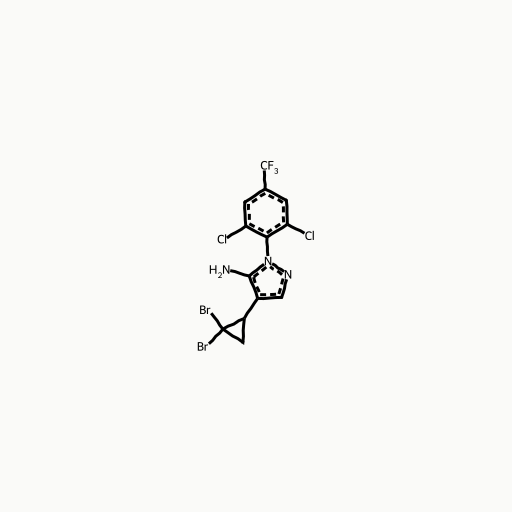 Nc1c(C2CC2(Br)Br)cnn1-c1c(Cl)cc(C(F)(F)F)cc1Cl